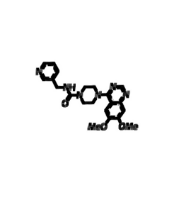 COc1cc2ncnc(N3CCN(C(=O)NCc4cccnc4)CC3)c2cc1OC